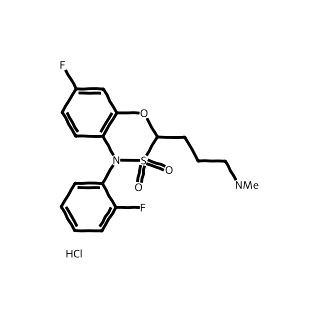 CNCCCC1Oc2cc(F)ccc2N(c2ccccc2F)S1(=O)=O.Cl